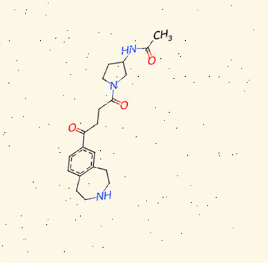 CC(=O)NC1CCN(C(=O)CCC(=O)c2ccc3c(c2)CCNCC3)C1